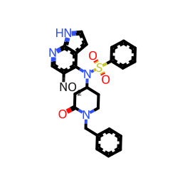 O=C1CC(N(c2c([N+](=O)[O-])cnc3[nH]ccc23)S(=O)(=O)c2ccccc2)CCN1Cc1ccccc1